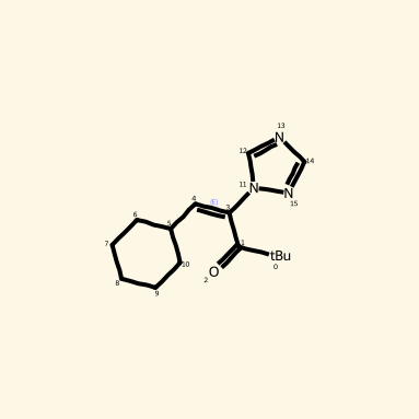 CC(C)(C)C(=O)/C(=C\C1CCCCC1)n1cncn1